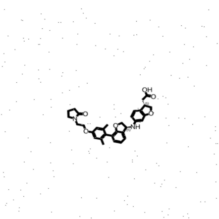 Cc1cc(OCCN2CCCC2=O)cc(C)c1-c1cccc2c1OC[C@H]2Nc1ccc2c(c1)OC[C@H]2CC(=O)O